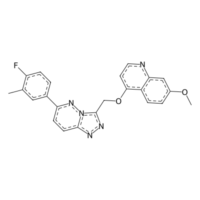 COc1ccc2c(OCc3nnc4ccc(-c5ccc(F)c(C)c5)nn34)ccnc2c1